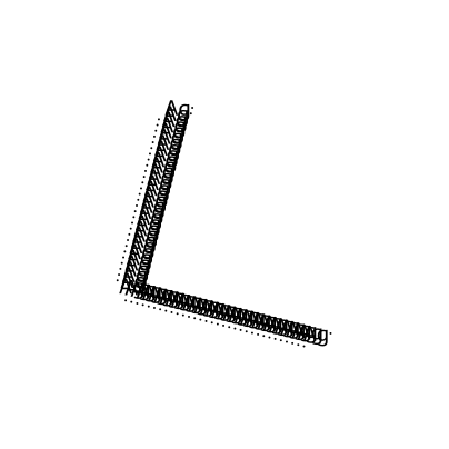 [Ag].[Ag].[Ag].[Ag].[Ag].[Ag].[Ag].[Ag].[Ag].[Ag].[Ag].[Ag].[Ag].[Ag].[Ag].[Ag].[Ag].[Ag].[Ag].[Ag].[Ag].[Ag].[Ag].[Ag].[Ag].[Ag].[Ag].[Ag].[Ag].[Ag].[Ag].[Ag].[Ag].[Ag].[Ag].[Ag].[Ag].[Ag].[Ag].[Ag].[Ag].[Ag].[Ag].[Ag].[Ag].[Ag].[Ag].[Ag].[Ag].[Ag].[Ag].[Ag].[Ag].[Ag].[Ag].[Ag].[Ag].[Ag].[Ag].[Ag].[Ag].[Ag].[Ag].[Ag]